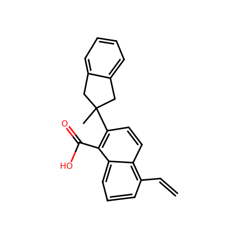 C=Cc1cccc2c(C(=O)O)c(C3(C)Cc4ccccc4C3)ccc12